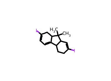 CC1(C)C2CC(I)=CC=C2C2CCC(I)=CC21